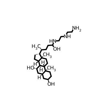 C[C@H](CCC(O)NCCNCCN)[C@H]1CC[C@H]2[C@@H]3[C@@H](O)C[C@@H]4C[C@H](O)CC[C@]4(C)[C@H]3CC[C@]12C